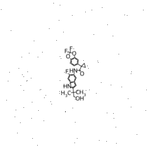 CC(C)(CO)c1cc2cc(NC(=O)C3(c4ccc5c(c4)OC(F)(F)O5)CC3)c(F)cc2[nH]1